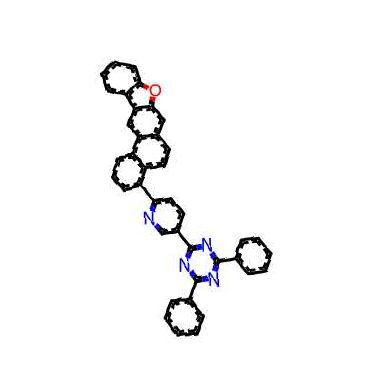 c1ccc(-c2nc(-c3ccccc3)nc(-c3ccc(-c4cccc5c4ccc4cc6oc7ccccc7c6cc45)nc3)n2)cc1